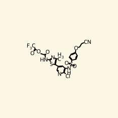 Cc1nc(NC(=O)COC(=O)C(F)(F)F)sc1-c1cnc(Cl)c(NS(=O)(=O)c2ccc(OCCC#N)cc2)c1